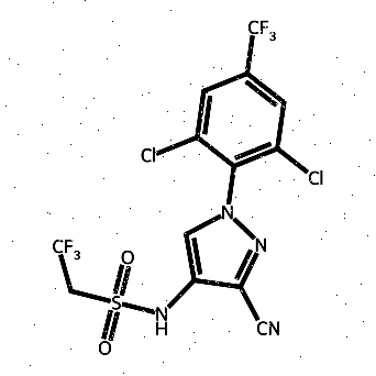 N#Cc1nn(-c2c(Cl)cc(C(F)(F)F)cc2Cl)cc1NS(=O)(=O)CC(F)(F)F